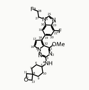 COc1nc(NC2CCC3(CC2)COC3)nn2ccc(-c3cc(F)c4ncn(CCF)c4c3)c12